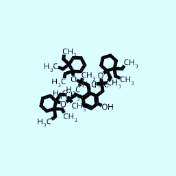 CCC1(CC)CCCCC1(CC)OC(C)(C)Cc1ccc(O)c(CC(C)(C)OC2(CC)CCCCC2(CC)CC)c1CC(C)(C)OC1(CC)CCCCC1(CC)CC